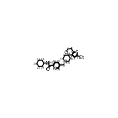 CCc1cc2c(s1)CCOC21CCN(Cc2ccc(C(=O)NC3CCCCC3)nc2)CC1